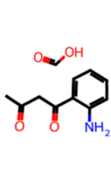 CC(=O)CC(=O)c1ccccc1N.O=CO